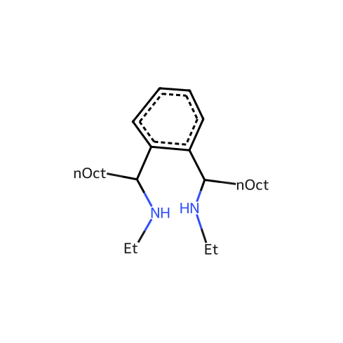 CCCCCCCCC(NCC)c1ccccc1C(CCCCCCCC)NCC